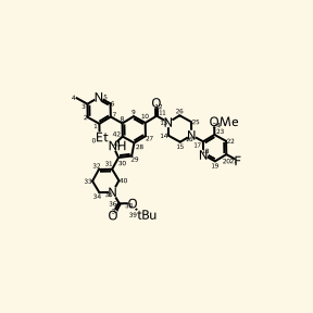 CCc1cc(C)ncc1-c1cc(C(=O)N2CCN(c3ncc(F)cc3OC)CC2)cc2cc(C3=CCCN(C(=O)OC(C)(C)C)C3)[nH]c12